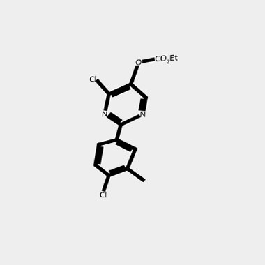 CCOC(=O)Oc1cnc(-c2ccc(Cl)c(C)c2)nc1Cl